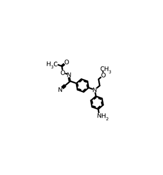 COCCN(c1ccc(N)cc1)c1ccc(/C(C#N)=N/OC(C)=O)cc1